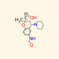 CC1(C)Oc2ccc(NC=O)cc2[C@H](N2CCCCC2)[C@H]1O